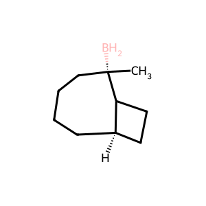 B[C@@]1(C)CCCC[C@@H]2CCC21